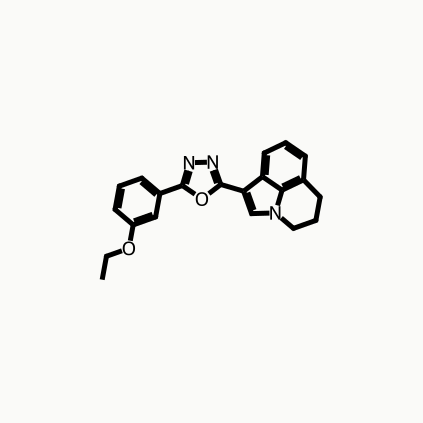 CCOc1cccc(-c2nnc(-c3cn4c5c(cccc35)CCC4)o2)c1